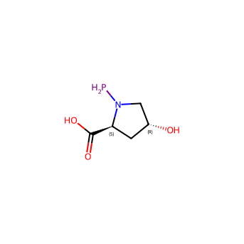 O=C(O)[C@@H]1C[C@@H](O)CN1P